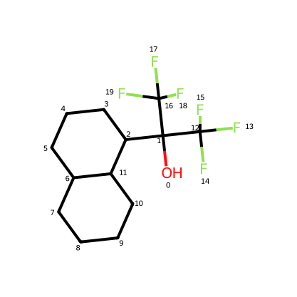 OC(C1CCCC2CCCCC21)(C(F)(F)F)C(F)(F)F